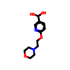 OB(O)c1ccc(OCCN2CCOCC2)nc1